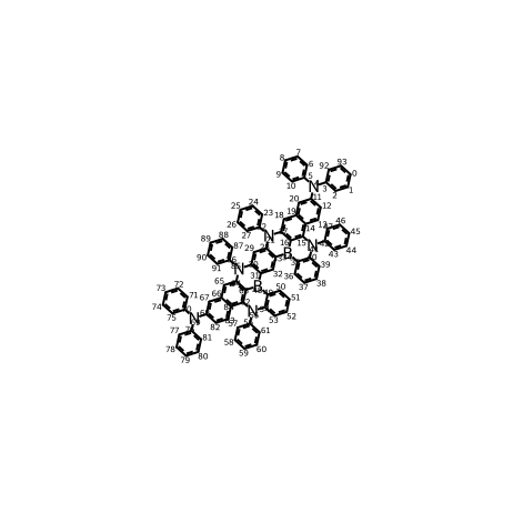 c1ccc(N(c2ccccc2)c2ccc3c4c5c(cc3c2)N(c2ccccc2)c2cc3c(cc2B5c2ccccc2N4c2ccccc2)B2c4ccccc4N(c4ccccc4)c4c2c(cc2cc(N(c5ccccc5)c5ccccc5)ccc42)N3c2ccccc2)cc1